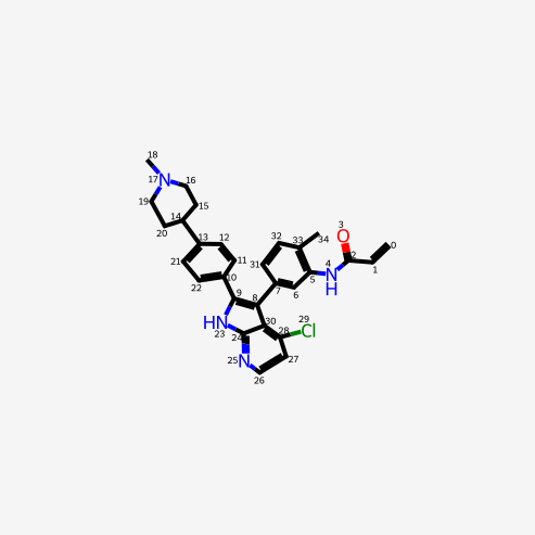 C=CC(=O)Nc1cc(-c2c(-c3ccc(C4CCN(C)CC4)cc3)[nH]c3nccc(Cl)c23)ccc1C